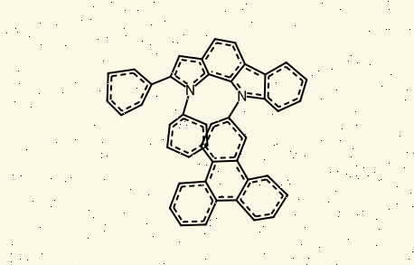 c1ccc(-c2cc3ccc4c5ccccc5n(-c5ccc6c7ccccc7c7ccccc7c6c5)c4c3n2-c2ccccc2)cc1